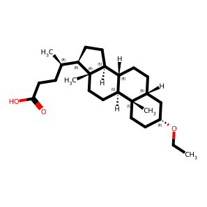 CCO[C@@H]1CC[C@@]2(C)[C@H](CC[C@@H]3[C@@H]2CC[C@]2(C)[C@@H]([C@H](C)CCC(=O)O)CC[C@@H]32)C1